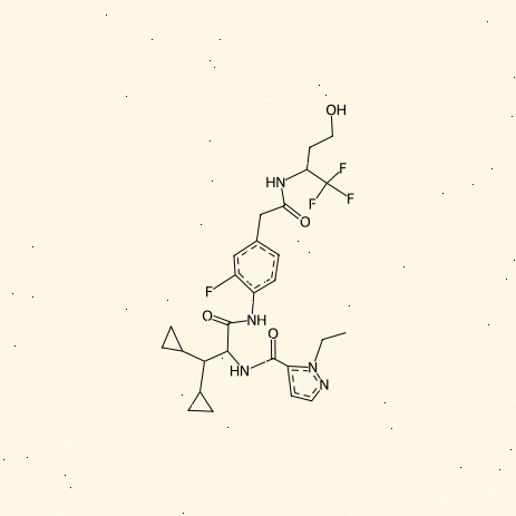 CCn1nccc1C(=O)NC(C(=O)Nc1ccc(CC(=O)NC(CCO)C(F)(F)F)cc1F)C(C1CC1)C1CC1